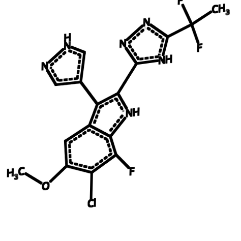 COc1cc2c(-c3cn[nH]c3)c(-c3nnc(C(C)(F)F)[nH]3)[nH]c2c(F)c1Cl